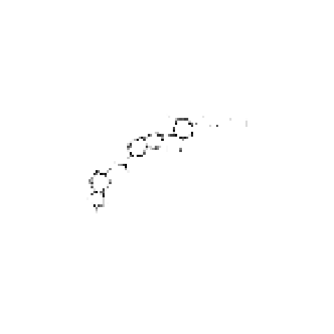 Cc1nc2cc(NC(=O)c3ccc4nc(-c5c(C)cc(OCC(=O)O)cc5C)[nH]c4c3)ccc2s1